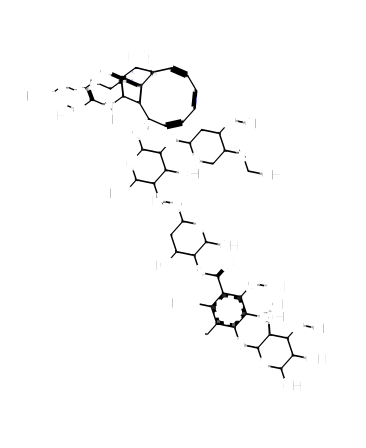 CCNC1COC(OC2C(O[C@H]3C#C/C=C\C#C[C@]4(O)CC(=O)C(NC(=O)OC)C3/C4=C\CSSSC)OC(C)C(NOC3CC(O)C(SC(=O)c4c(C)c(I)c(OC5OC(C)C(O)C(OC)C5O)c(OC)c4OC)C(C)O3)C2O)CC1OC